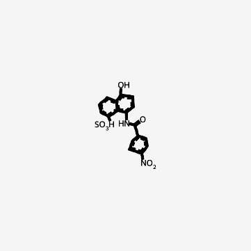 O=C(Nc1ccc(O)c2cccc(S(=O)(=O)O)c12)c1ccc([N+](=O)[O-])cc1